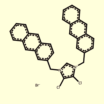 Clc1c(Cl)[n+](Cc2ccc3cc4ccccc4cc3c2)cn1Cc1ccc2cc3ccccc3cc2c1.[Br-]